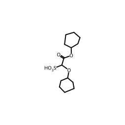 O=C(OC1CCCCC1)C(OC1CCCCC1)S(=O)(=O)O